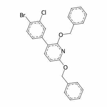 Clc1cc(-c2ccc(OCc3ccccc3)nc2OCc2ccccc2)ccc1Br